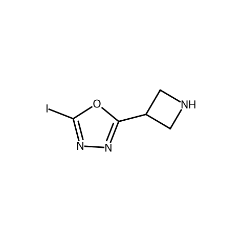 Ic1nnc(C2CNC2)o1